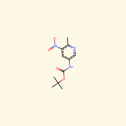 Cc1ncc(NC(=O)OC(C)(C)C)cc1[N+](=O)[O-]